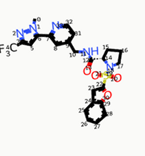 Cn1nc(C(F)(F)F)cc1-c1cc(CNC(=O)[C@@H]2CCCN2S(=O)(=O)c2cc3ccccc3o2)ccn1